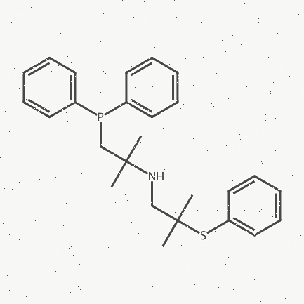 CC(C)(CP(c1ccccc1)c1ccccc1)NCC(C)(C)Sc1ccccc1